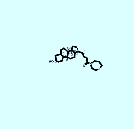 C[C@H](CCC(=O)N1CCCOCC1)[C@H]1CC[C@H]2[C@@H]3CC=C4C[C@@H](O)CC[C@]4(C)[C@H]3CC[C@]12C